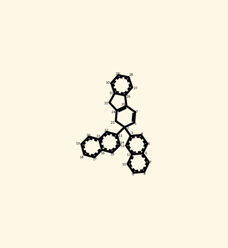 C1=CC(c2ccc3ccccc3c2)(c2ccc3ccccc3c2)CC2=C1c1ccccc1C2